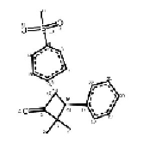 CC1(C)C(=O)[C@H](c2ccc(S(C)(=O)=O)cc2)[C@H]1c1ccccc1